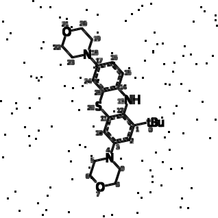 CC(C)(C)c1cc(N2CCOCC2)cc2c1Nc1ccc(N3CCOCC3)cc1S2